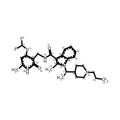 Cc1cc(OC(F)F)c(CNC(=O)c2c(C)n([C@H](C)C3CCN(CCC(F)(F)F)CC3)c3ccccc23)c(=O)[nH]1